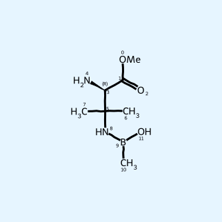 COC(=O)[C@H](N)C(C)(C)NB(C)O